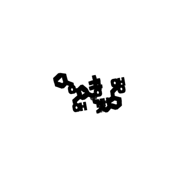 C[C@H](Cc1cccc(CC(=O)O)c1)NC[C@@H](O[Si](C)(C)C(C)(C)C)c1ccc(OCc2ccccc2)c(CO)c1